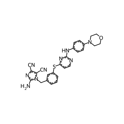 N#Cc1nc(N)n(Cc2cccc(Sc3ccnc(Nc4ccc(N5CCOCC5)cc4)n3)c2)c1C#N